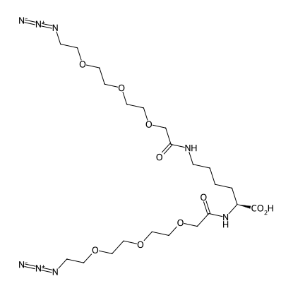 [N-]=[N+]=NCCOCCOCCOCC(=O)NCCCC[C@H](NC(=O)COCCOCCOCCN=[N+]=[N-])C(=O)O